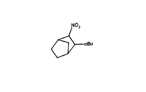 CCCCC1C2CCC(C2)C1[N+](=O)[O-]